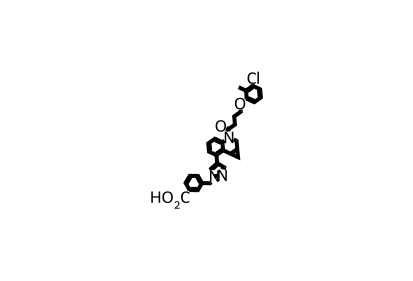 Cc1c(Cl)cccc1OCCCC(=O)N1CC2CC2c2c(-c3cnn(Cc4cccc(C(=O)O)c4)c3)cccc21